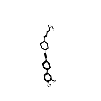 CCCC=C[C@H]1CC[C@H](C#Cc2ccc(-c3ccc(Cl)c(F)c3)cc2)CC1